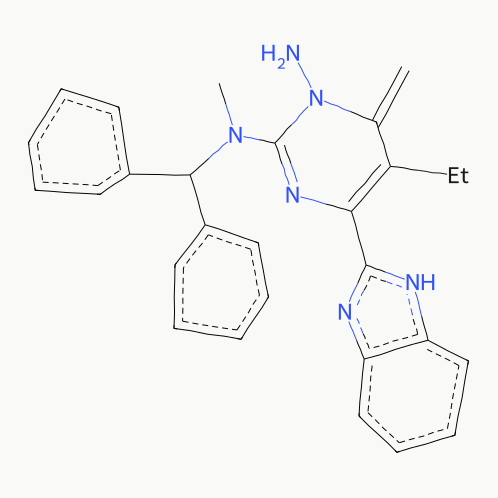 C=C1C(CC)=C(c2nc3ccccc3[nH]2)N=C(N(C)C(c2ccccc2)c2ccccc2)N1N